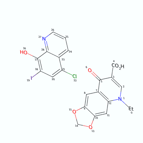 CCn1cc(C(=O)O)c(=O)c2cc3c(cc21)OCO3.Oc1c(I)cc(Cl)c2cccnc12